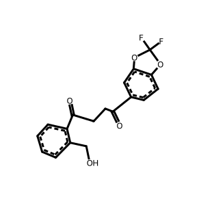 O=C(CCC(=O)c1ccccc1CO)c1ccc2c(c1)OC(F)(F)O2